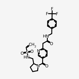 C=CS(=O)(=O)NCC1CCCN1C(=O)c1ccc(CC(=O)NCc2ccc(C(F)(F)F)cc2)nc1